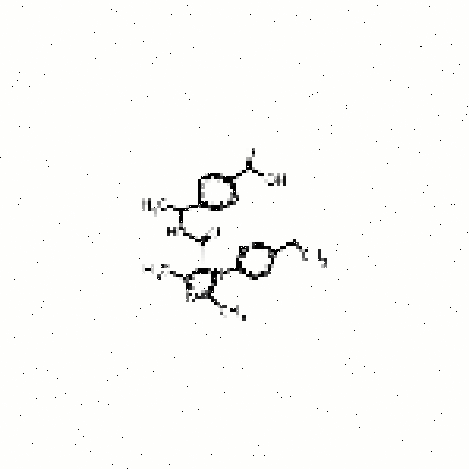 CCc1ccc(-n2c(C)nc(C)c2C(=O)NC(C)c2ccc(C(=O)O)cc2)cc1